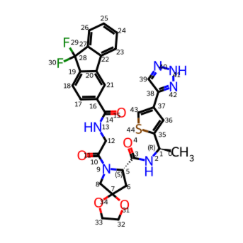 C[C@@H](NC(=O)[C@@H]1CC2(CN1C(=O)CNC(=O)c1ccc3c(c1)-c1ccccc1C3(F)F)OCCO2)c1cc(-c2cn[nH]n2)cs1